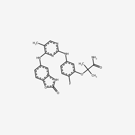 Cc1cnc(Nc2ccc(F)c(OC(C)(C)C(N)=O)c2)nc1Nc1ccc2oc(=O)[nH]c2c1